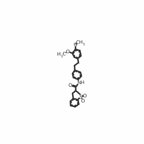 COc1ccc(CCc2ccc(NC(=O)C3Cc4ccccc4S(=O)(=O)C3)cc2)cc1OC